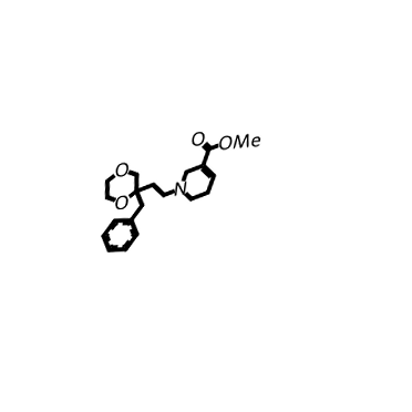 COC(=O)C1=CCCN(CCC2(Cc3ccccc3)COCCO2)C1